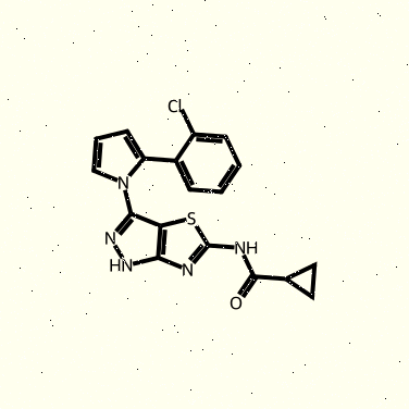 O=C(Nc1nc2[nH]nc(-n3cccc3-c3ccccc3Cl)c2s1)C1CC1